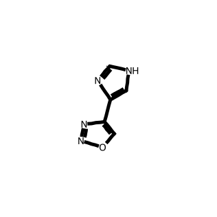 [c]1nc(-c2conn2)c[nH]1